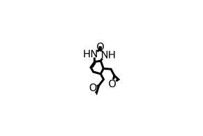 O=C1NC2=CCC(CC3CO3)C(CC3CO3)C2N1